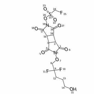 O=C1C2C(C(=O)N1OCC(F)(F)CCCO)C1C(=O)N(OS(=O)(=O)CF)C(=O)C21